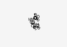 COC(=O)c1sccc1Nc1nc(Nc2cc(OC)c(OC)c(OC)c2)ncc1Cl